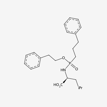 CC(C)C[C@H](NP(=O)(CCCc1ccccc1)OCCc1ccccc1)C(=O)O